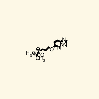 CN(C)S(=O)(=O)CCCOc1ccc2ncnn2n1